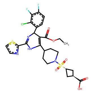 CCOC(=O)C1=C(C2CCN(S(=O)(=O)[C@H]3C[C@H](C(=O)O)C3)CC2)NC(c2nccs2)=NC1c1ccc(F)c(F)c1Cl